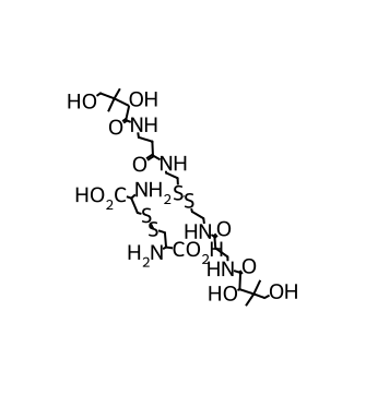 CC(C)(CO)C(O)C(=O)NCCC(=O)NCCSSCCNC(=O)CCNC(=O)C(O)C(C)(C)CO.NC(CSSCC(N)C(=O)O)C(=O)O